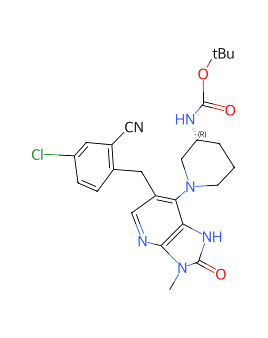 Cn1c(=O)[nH]c2c(N3CCC[C@@H](NC(=O)OC(C)(C)C)C3)c(Cc3ccc(Cl)cc3C#N)cnc21